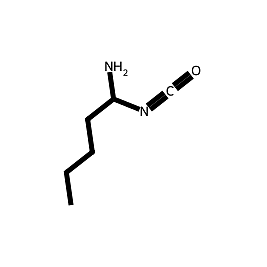 CCCCC(N)N=C=O